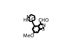 COc1cc(C2CNN3CCC2CC3)c2c(C=O)nsc2c1